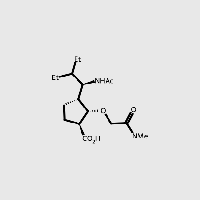 CCC(CC)[C@@H](NC(C)=O)[C@H]1CC[C@H](C(=O)O)[C@H]1OCC(=O)NC